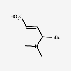 CCCCC(C=CC(=O)O)N(C)C